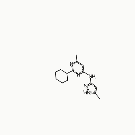 Cc1cc(Nc2cc(C)[nH]n2)nc(C2CCCCC2)n1